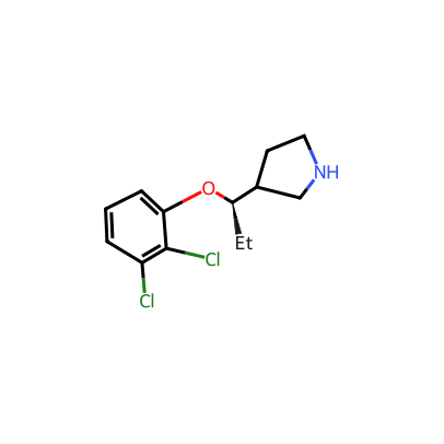 CC[C@@H](Oc1cccc(Cl)c1Cl)C1CCNC1